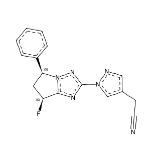 N#CCc1cnn(-c2nc3n(n2)[C@H](c2ccccc2)C[C@@H]3F)c1